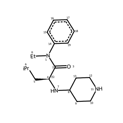 CCN(C(=O)[C@H](CC(C)C)NC1CCNCC1)c1ccccc1